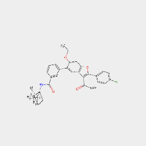 CNC(=O)c1c(-c2ccc(F)cc2)oc2cc(OCC(F)(F)F)c(-c3cccc(C(=O)NC45CC([C@H]4C)[C@H]5C)c3)cc12